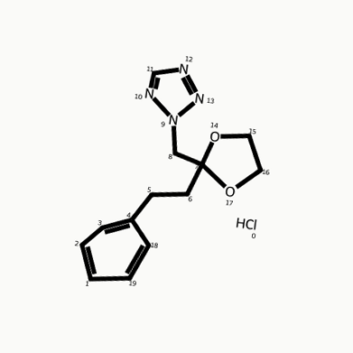 Cl.c1ccc(CCC2(Cn3ncnn3)OCCO2)cc1